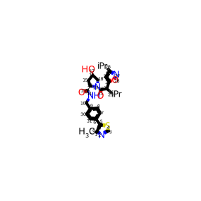 Cc1ncsc1-c1ccc(CNC(=O)[C@@H]2C[C@@H](O)CN2C(=O)C(c2cc(C(C)C)no2)C(C)C)cc1